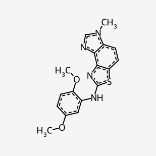 COc1ccc(OC)c(Nc2nc3c(ccc4c3ncn4C)s2)c1